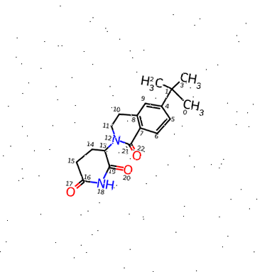 CC(C)(C)c1ccc2c(c1)CCN(C1CCC(=O)NC1=O)C2=O